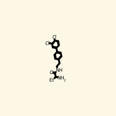 CCC(N)C(=O)NCCc1ccc(-c2ccc(Cl)c(Cl)c2)cc1